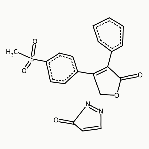 CS(=O)(=O)c1ccc(C2=C(c3ccccc3)C(=O)OC2)cc1.O=C1C=CN=N1